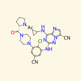 CC(=O)N1CCC[C@H]1C(=O)N1CCN(c2cc(C#N)cc(Nc3nc(NC4CC4)c4ncc(C#N)n4n3)c2Cl)CC1